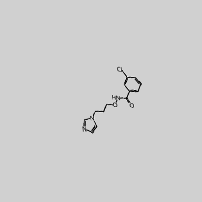 O=C(NOCCCn1ccnc1)c1cccc(Cl)c1